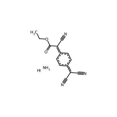 CCOC(=O)C(C#N)=c1ccc(=C(C#N)C#N)cc1.I.N